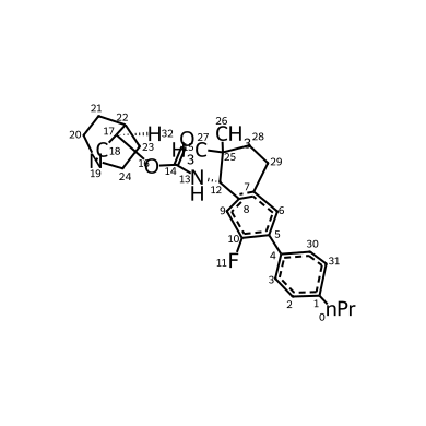 CCCc1ccc(-c2cc3c(cc2F)[C@H](NC(=O)O[C@H]2CN4CCC2CC4)C(C)(C)CC3)cc1